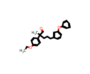 CCOc1ccc(C(C)(C=O)CCCc2cccc(Oc3ccccc3)c2)cc1